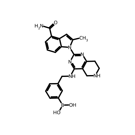 Cc1cc2c(C(N)=O)cccc2n1-c1nc2c(c(NCc3cccc(B(O)O)c3)n1)CNCC2